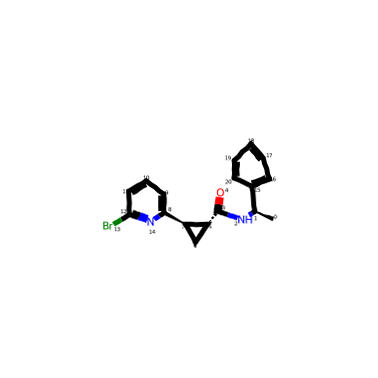 C[C@@H](NC(=O)[C@@H]1C[C@H]1c1cccc(Br)n1)c1ccccc1